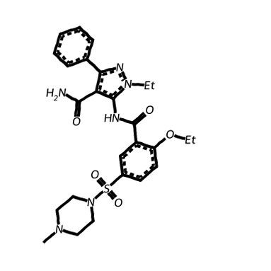 CCOc1ccc(S(=O)(=O)N2CCN(C)CC2)cc1C(=O)Nc1c(C(N)=O)c(-c2ccccc2)nn1CC